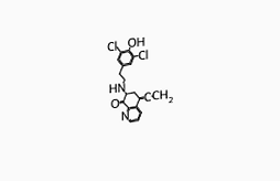 C=C=C1CC(NCCc2cc(Cl)c(O)c(Cl)c2)C(=O)c2ncccc21